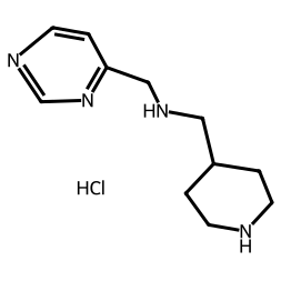 Cl.c1cc(CNCC2CCNCC2)ncn1